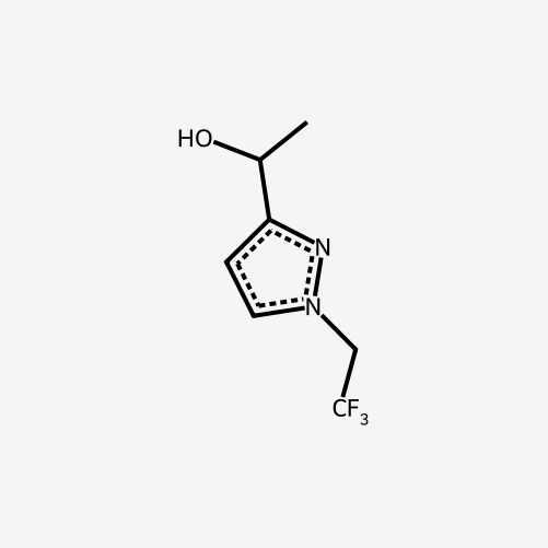 CC(O)c1ccn(CC(F)(F)F)n1